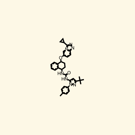 Cc1ccc(-n2nc(C(C)(C)C)cc2NC(=O)NC2CCC(Oc3ccc4nnc(C5CC5)n4c3)c3ccccc32)cc1